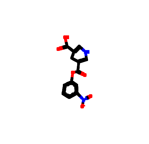 O=C(O)C1=CNC=C(C(=O)Oc2cccc([N+](=O)[O-])c2)C1